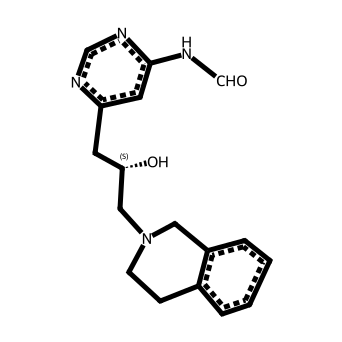 O=CNc1cc(C[C@H](O)CN2CCc3ccccc3C2)ncn1